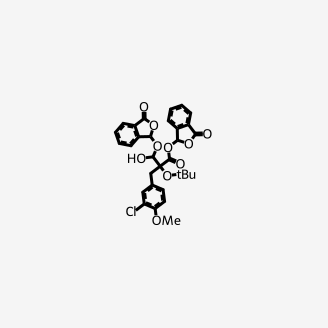 COc1ccc(CC(OC(C)(C)C)(C(=O)OC2OC(=O)c3ccccc32)C(O)OC2OC(=O)c3ccccc32)cc1Cl